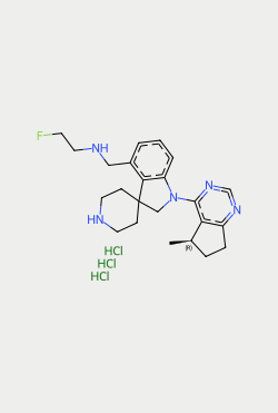 C[C@@H]1CCc2ncnc(N3CC4(CCNCC4)c4c(CNCCF)cccc43)c21.Cl.Cl.Cl